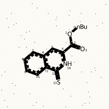 CCCCOC(=O)c1cc2ccccc2c(=S)[nH]1